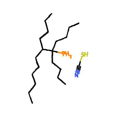 CCCCCCC(CCCC)C(P)(CCCC)CCCC.N#CS